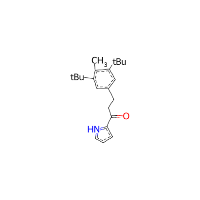 Cc1c(C(C)(C)C)cc(CCC(=O)c2ccc[nH]2)cc1C(C)(C)C